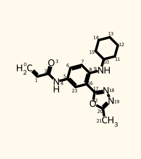 C=CC(=O)Nc1ccc(NC2CCCCC2)c(-c2nnc(C)o2)c1